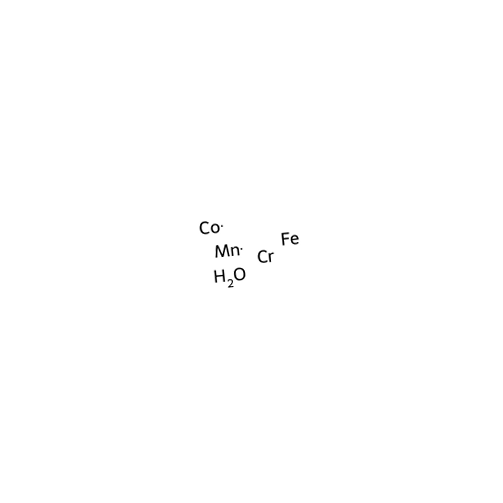 O.[Co].[Cr].[Fe].[Mn]